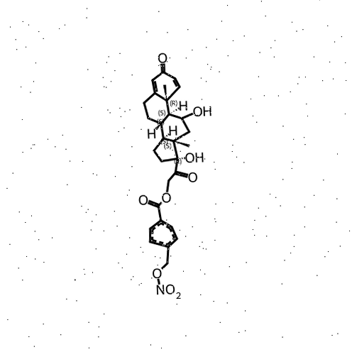 C[C@]12C=CC(=O)C=C1CC[C@@H]1[C@@H]2C(O)C[C@@]2(C)[C@H]1CC[C@]2(O)C(=O)COC(=O)c1ccc(CO[N+](=O)[O-])cc1